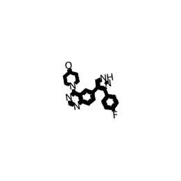 O=C1CCN(c2ncnc3ccc(-c4c[nH]nc4-c4ccc(F)cc4)cc23)CC1